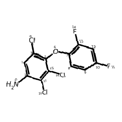 Nc1cc(Cl)c(Oc2ccc(F)cc2F)c(Cl)c1Cl